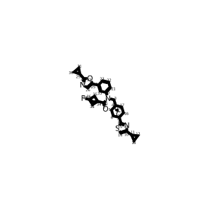 O=C(N(CC12CCC(c3nc(C4CC4)cs3)(CC1)CC2)c1cccc(-c2cnc(C3CC3)o2)c1)C12CC(F)(C1)C2